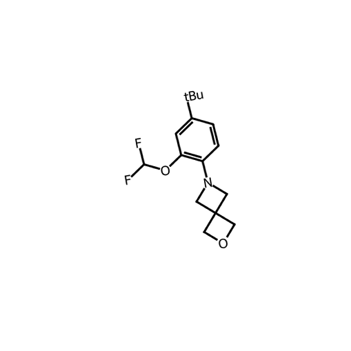 CC(C)(C)c1ccc(N2CC3(COC3)C2)c(OC(F)F)c1